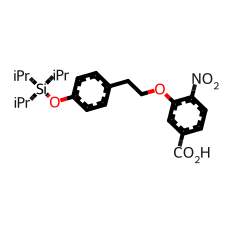 CC(C)[Si](Oc1ccc(CCOc2cc(C(=O)O)ccc2[N+](=O)[O-])cc1)(C(C)C)C(C)C